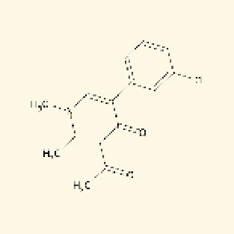 CCN(C)C=C(C(=O)CC(C)=O)c1cccc(Cl)c1